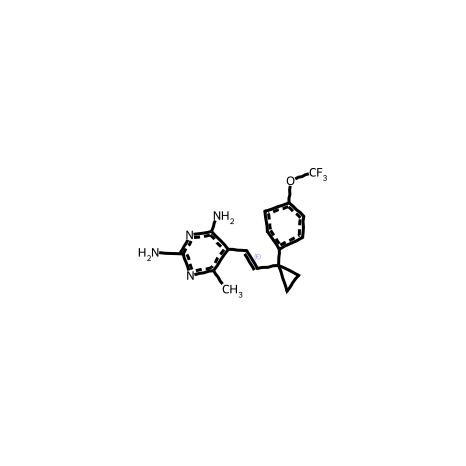 Cc1nc(N)nc(N)c1/C=C/C1(c2ccc(OC(F)(F)F)cc2)CC1